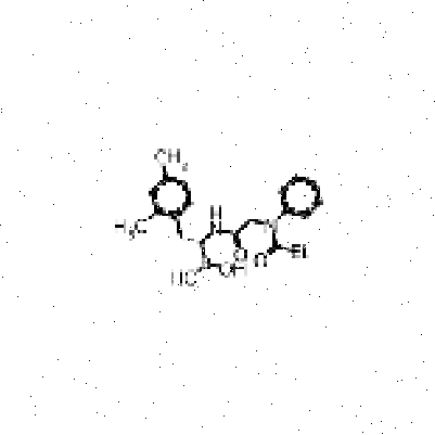 CCC(=O)N(CC(=O)N[C@@H](Cc1ccc(C)cc1C)B(O)O)c1ccccc1